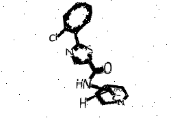 O=C(N[C@H]1CN2CCC1CC2)c1cnc(-c2ccccc2Cl)s1